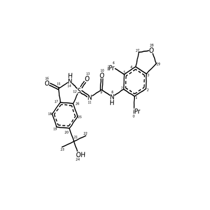 CC(C)c1cc2c(c(C(C)C)c1NC(=O)N=S1(=O)NC(=O)c3ccc(C(C)(C)O)cc31)COC2